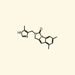 Cc1cc(C)c2cc3n(c2c1)C(=O)N(Cc1nc[nH]c1C)C3